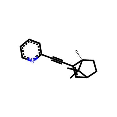 CC1(C)C2C=C(C#Cc3ccccn3)[C@@]1(C)CC2